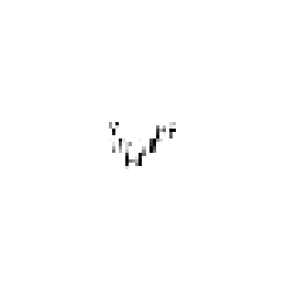 F.F.F.F.[Y]